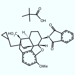 CC(C)(C)C(=O)O.COc1ccc2c3c1O[C@H]1[C@H](N4C(=O)c5ccccc5C4=O)CC[C@H]4[C@@]31C=CN(CC1CC1)[C@]4(C(=O)O)C2